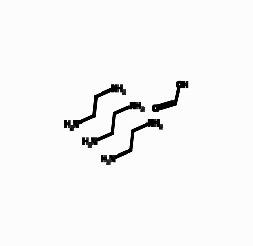 NCCN.NCCN.NCCN.O=CO